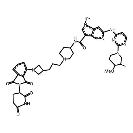 COC1CCN(c2nccc(Nc3cc4c(cn3)c(C(=O)NC3CCN(CCCC5CN(c6cccc7c6C(=O)N(C6CCC(=O)NC6=O)C7=O)C5)CC3)cn4C(C)C)n2)C[C@H]1F